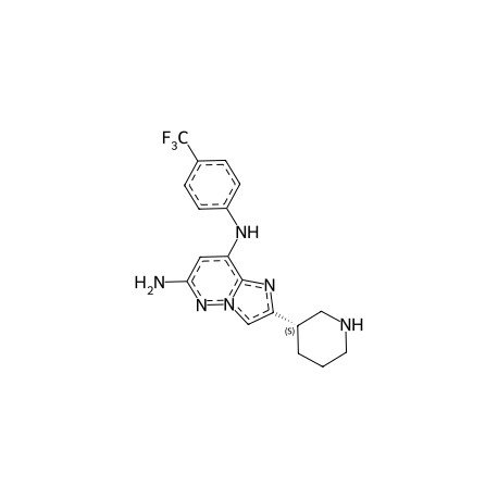 Nc1cc(Nc2ccc(C(F)(F)F)cc2)c2nc([C@H]3CCCNC3)cn2n1